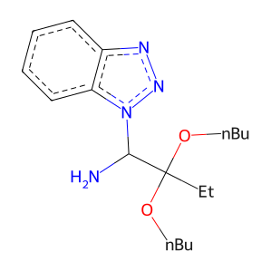 CCCCOC(CC)(OCCCC)C(N)n1nnc2ccccc21